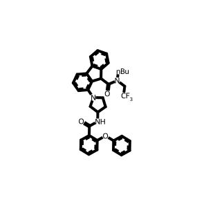 CCCCN(CC(F)(F)F)C(=O)C1c2ccccc2-c2cccc(N3CCC(NC(=O)c4ccccc4Oc4ccccc4)C3)c21